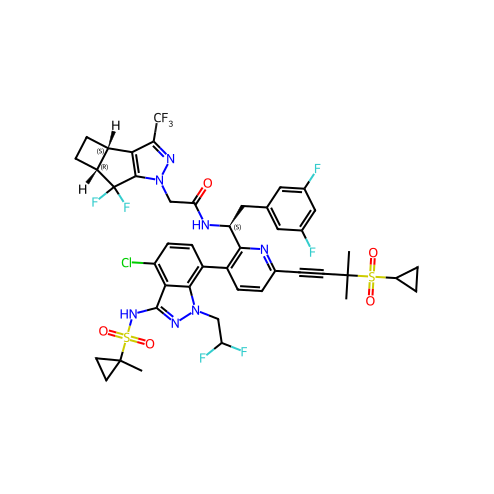 CC1(S(=O)(=O)Nc2nn(CC(F)F)c3c(-c4ccc(C#CC(C)(C)S(=O)(=O)C5CC5)nc4[C@H](Cc4cc(F)cc(F)c4)NC(=O)Cn4nc(C(F)(F)F)c5c4C(F)(F)[C@@H]4CC[C@H]54)ccc(Cl)c23)CC1